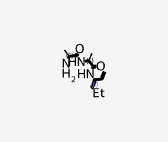 C=C/C(=C\CC)NC(=O)[C@H](C)NC(=O)[C@H](C)N